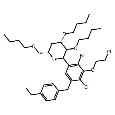 CCCCOC[C@@H]1C[C@H](OCCCC)[C@@H](OCCCC)C(c2cc(Cc3ccc(CC)cc3)c(Cl)c(OCCCl)c2Br)O1